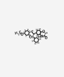 COc1ccc2c(c1)OC(c1ccccc1)C(c1ccc3c(c1)NC(=O)CO3)=C2